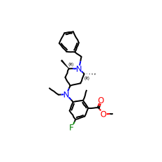 CCN(c1cc(F)cc(C(=O)OC)c1C)C1C[C@@H](C)N(Cc2ccccc2)[C@H](C)C1